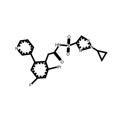 CC(C)c1cc(F)cc(-c2cccnc2)c1CC(=O)NS(=O)(=O)c1cnn(C2CC2)n1